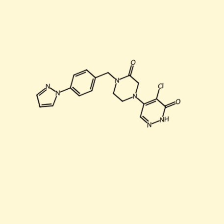 O=C1CN(c2cn[nH]c(=O)c2Cl)CCN1Cc1ccc(-n2cccn2)cc1